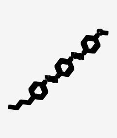 CCCCc1ccc(N=Nc2ccc(N=Nc3ccc(OC)cc3)cc2)cc1